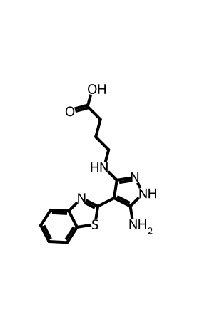 Nc1[nH]nc(NCCCC(=O)O)c1-c1nc2ccccc2s1